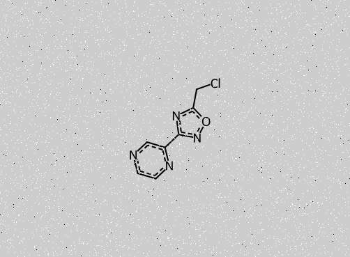 ClCc1nc(-c2cnccn2)no1